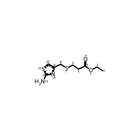 CCOC(=O)CCSCc1csc(N)n1